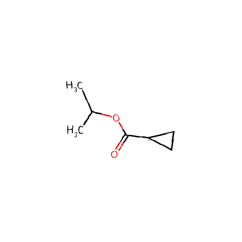 CC(C)OC(=O)[C]1CC1